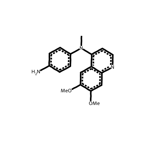 COc1cc2nccc(N(C)c3ccc(N)cc3)c2cc1OC